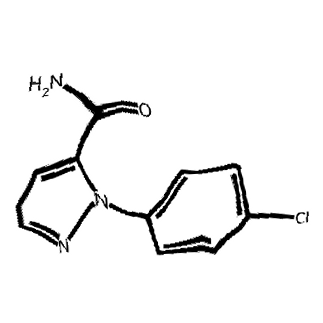 NC(=O)c1ccnn1-c1ccc(Cl)cc1